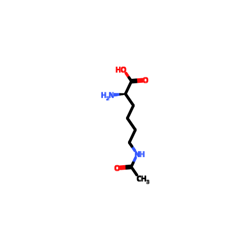 CC(=O)NCCCC[C@@H](N)C(=O)O